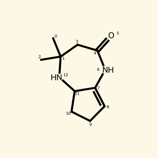 CC1(C)CC(=O)NC2=CCCC2N1